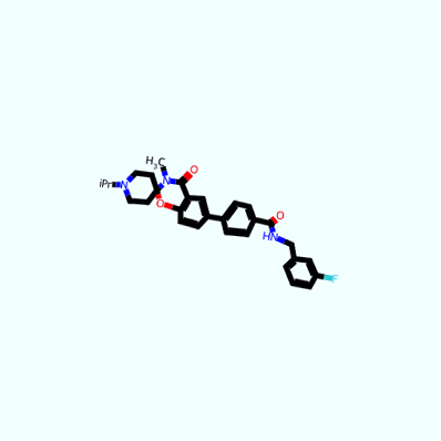 CC(C)N1CCC2(CC1)Oc1ccc(-c3ccc(C(=O)NCc4cccc(F)c4)cc3)cc1C(=O)N2C